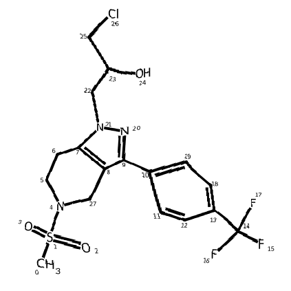 CS(=O)(=O)N1CCc2c(c(-c3ccc(C(F)(F)F)cc3)nn2CC(O)CCl)C1